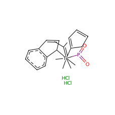 C[C](C)=[Ti]([CH3])([CH3])([CH3])([CH3])([C]1=CC=CC1)([CH]1C=Cc2ccccc21)[P](=O)=O.Cl.Cl